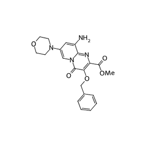 COC(=O)c1nc2c(N)cc(N3CCOCC3)cn2c(=O)c1OCc1ccccc1